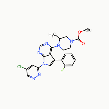 CC1CN(C(=O)OC(C)(C)C)CCN1c1ncnc2c1c(-c1ccccc1F)cn2-c1cc(Cl)cnn1